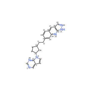 c1ncc2ccn(C3CCC(CCc4ccc5cc6cn[nH]c6nc5c4)C3)c2n1